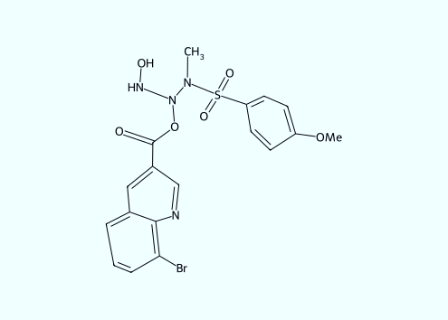 COc1ccc(S(=O)(=O)N(C)N(NO)OC(=O)c2cnc3c(Br)cccc3c2)cc1